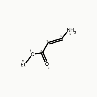 CCOC(=O)/C=C/N